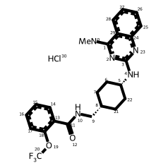 CNc1nc(N[C@H]2CC[C@@H](CNC(=O)c3ccccc3OC(F)(F)F)CC2)nc2ccccc12.Cl